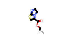 CCOC(=O)c1csc2nccn12